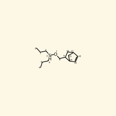 CCC[SiH](CCC)OCC1CC2C=CC1C2